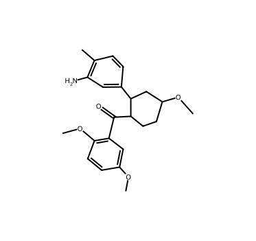 COc1ccc(OC)c(C(=O)C2CCC(OC)CC2c2ccc(C)c(N)c2)c1